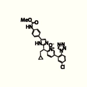 COC(=O)Nc1ccc(-c2cnc(C(CC3CC3)c3ccc(-c4cc(Cl)ccc4-n4cnnn4)c[n+]3[O-])[nH]2)cc1